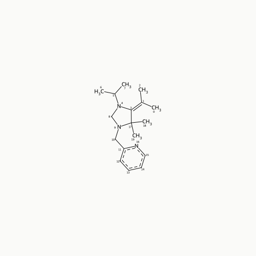 CC(C)=C1N(C(C)C)CN(Cc2ccccn2)C1(C)C